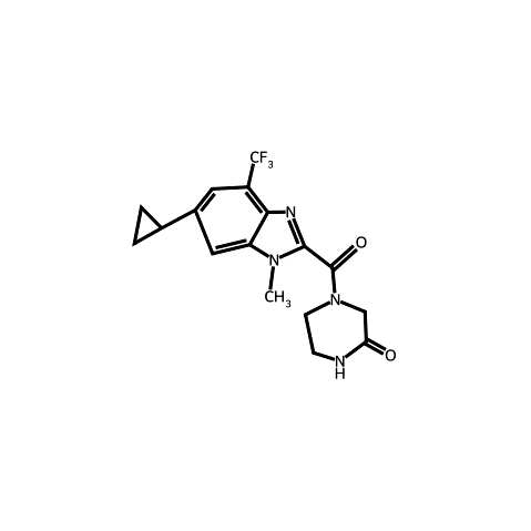 Cn1c(C(=O)N2CCNC(=O)C2)nc2c(C(F)(F)F)cc(C3CC3)cc21